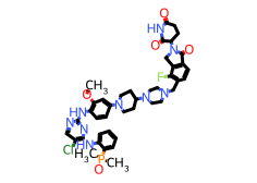 COc1cc(N2CCC(N3CCN(Cc4ccc5c(c4F)CN(C4CCC(=O)NC4=O)C5=O)CC3)CC2)ccc1Nc1ncc(Cl)c(Nc2ccccc2P(C)(C)=O)n1